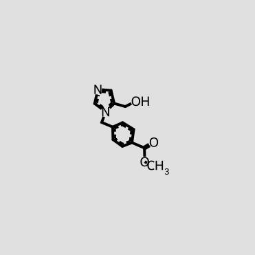 COC(=O)c1ccc(Cn2cncc2CO)cc1